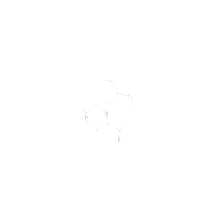 CCC(Cl)N(C)C.CN(C)c1ccncc1.Cl